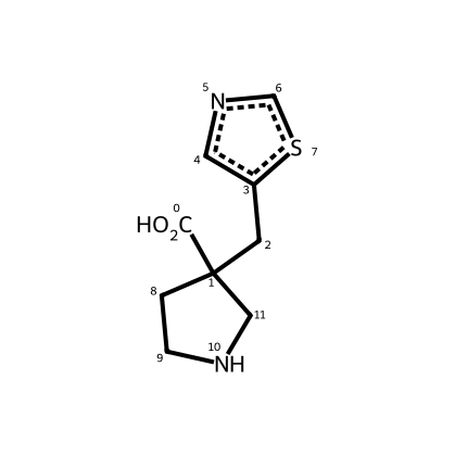 O=C(O)C1(Cc2cncs2)CCNC1